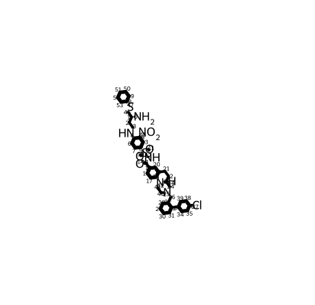 N[C@H](CCNc1ccc(S(=O)(=O)NC(=O)c2ccc3c(c2)CC[C@@H]2CN(Cc4ccccc4-c4ccc(Cl)cc4)CCN32)cc1[N+](=O)[O-])CSc1ccccc1